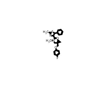 CC1=NC(C(=O)N(C)CC2(COc3ccc(F)cc3)CC2)C(c2ccccc2)S1